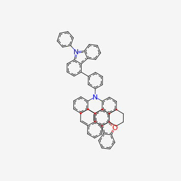 C1=c2cccc(C3CCCCC3)c2=C(c2ccccc2N(c2cccc(-c3cccc4c3c3ccccc3n4-c3ccccc3)c2)c2ccccc2-c2ccc3oc4ccccc4c3c2)CC1